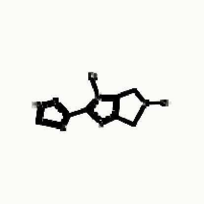 CCn1c(-c2nc[nH]n2)nc2c1CN(O)C2